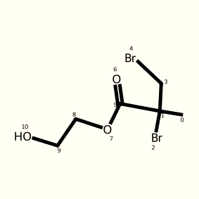 CC(Br)(CBr)C(=O)OCCO